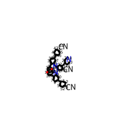 N#Cc1ccc(-c2ccc3c4ccccc4n(-c4cc(C#N)c(-c5ccncc5)cc4-n4c5ccccc5c5ccc(-c6ccc(C#N)cc6)cc54)c3c2)cc1